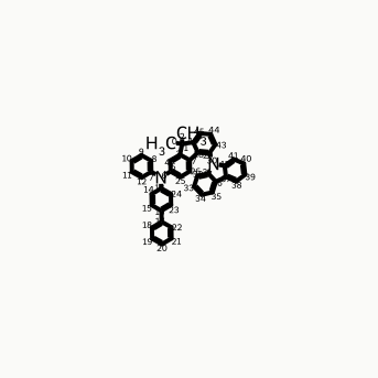 CC1(C)c2cc(N(c3ccccc3)c3ccc(-c4ccccc4)cc3)ccc2-c2c(-n3c4ccccc4c4ccccc43)cccc21